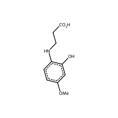 COc1ccc(NCCC(=O)O)c(O)c1